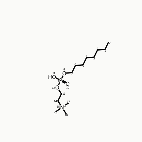 CCCCCCCCOP(=O)(O)OCC[N+](C)(C)C